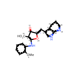 COc1ccccc1NC1=C(C(=O)O)C(=O)/C(=C/c2c[nH]c3ncccc23)O1